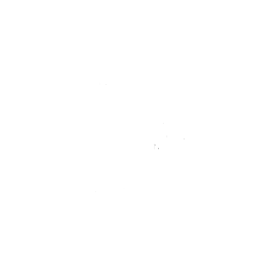 O=C1OC(c2ccc(Cl)cc2)CN1Cc1ccc(CBr)cc1